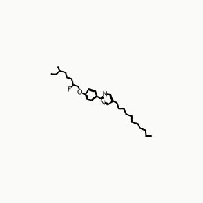 CCCCCCCCCCCc1cnc(-c2ccc(OCC(F)CCCC(C)CC)cc2)nc1